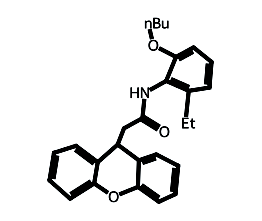 CCCCOc1cccc(CC)c1NC(=O)CC1c2ccccc2Oc2ccccc21